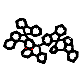 c1ccc(-c2ccccc2N(c2ccc3c(c2)C2(c4ccccc4-c4ccccc42)c2ccc4ccccc4c2-3)c2ccc3c(c2)C2(c4ccccc4-3)c3ccccc3-n3c4ccccc4c4cccc2c43)cc1